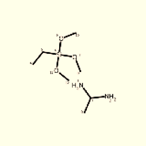 CC(N)N.CC[Si](OC)(OC)OC